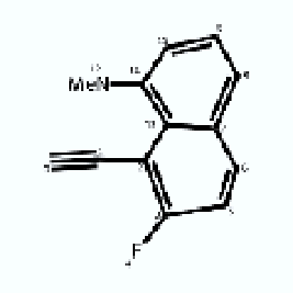 C#Cc1c(F)ccc2cccc(NC)c12